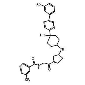 CC(=O)c1cccc(-c2ccc(C3(O)CCC(N[C@H]4CCN(C(=O)CNC(=O)c5cccc(C(F)(F)F)c5)C4)CC3)nc2)c1